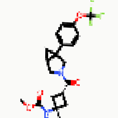 COC(=O)N[C@]1(C)C[C@H](C(=O)N2CC3CC3(c3ccc(OC(F)(F)F)cc3)C2)C1